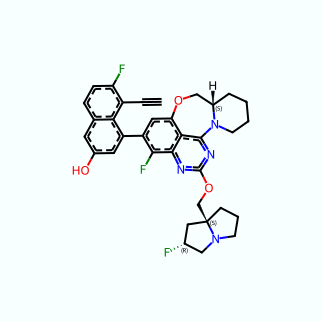 C#Cc1c(F)ccc2cc(O)cc(-c3cc4c5c(nc(OC[C@@]67CCCN6C[C@H](F)C7)nc5c3F)N3CCCC[C@H]3CO4)c12